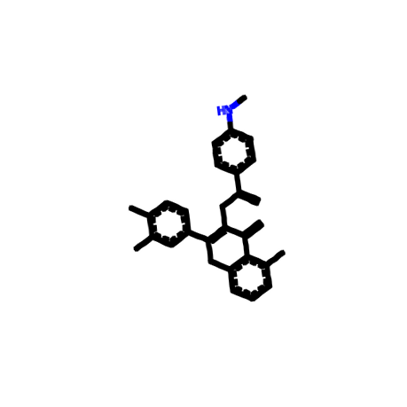 C=C(CC1=C(c2ccc(C)c(C)c2)Cc2cccc(C)c2C1=C)c1ccc(NC)cc1